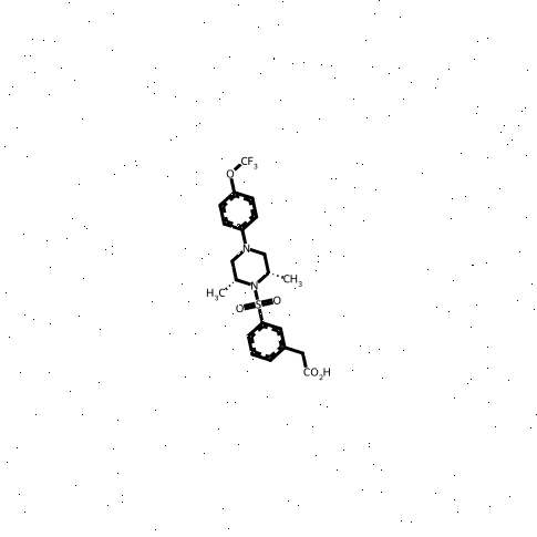 C[C@@H]1CN(c2ccc(OC(F)(F)F)cc2)C[C@H](C)N1S(=O)(=O)c1cccc(CC(=O)O)c1